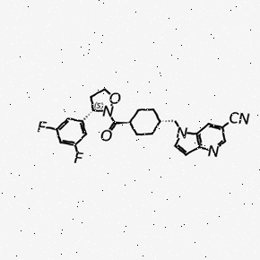 N#Cc1cnc2ccn(C[C@H]3CC[C@H](C(=O)N4OCC[C@H]4c4cc(F)cc(F)c4)CC3)c2c1